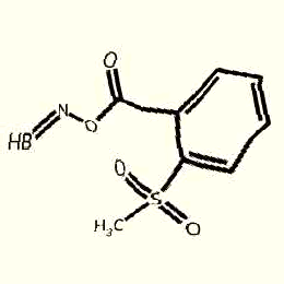 B=NOC(=O)c1ccccc1S(C)(=O)=O